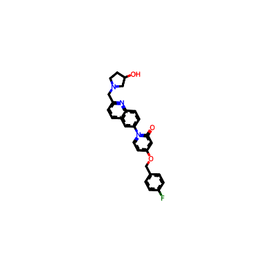 O=c1cc(OCc2ccc(F)cc2)ccn1-c1ccc2nc(CN3CCC(O)C3)ccc2c1